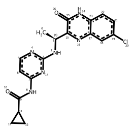 C[C@H](Nc1nccc(NC(=O)C2CC2)n1)c1nc2cc(Cl)ccc2[nH]c1=O